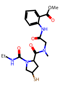 CCNC(=O)N1CC(S)CC1C(=O)N(C)CC(=O)Nc1ccccc1C(=O)OC